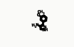 COc1cccc(-c2n[nH]cc2N)c1